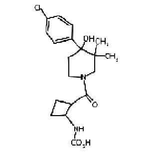 CC1(C)CN(C(=O)C2CCC2NC(=O)O)CCC1(O)c1ccc(Cl)cc1